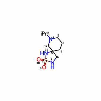 CC(C)N1CCCC2(CNS(=O)(=O)N2)C1